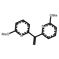 C=C(c1cccc(OC)n1)c1cccc(OC)n1